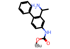 CC(N)c1cc(NC(=O)OC(C)(C)C)ccc1-c1ccccc1